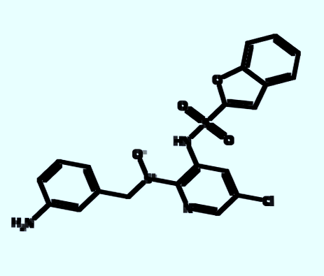 Nc1cccc(C[S+]([O-])c2ncc(Cl)cc2NS(=O)(=O)c2cc3ccccc3o2)c1